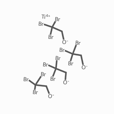 [O-]CC(Br)(Br)Br.[O-]CC(Br)(Br)Br.[O-]CC(Br)(Br)Br.[O-]CC(Br)(Br)Br.[Ti+4]